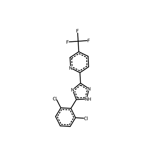 FC(F)(F)c1ccc(-c2n[nH]c(-c3c(Cl)cccc3Cl)n2)nc1